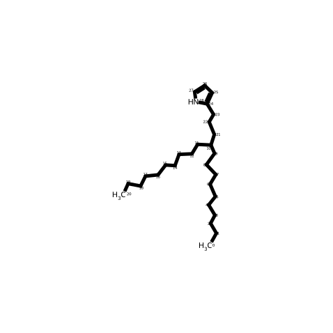 CCCCCCCCCCC(CCCCCCCCCC)CCCc1ccc[nH]1